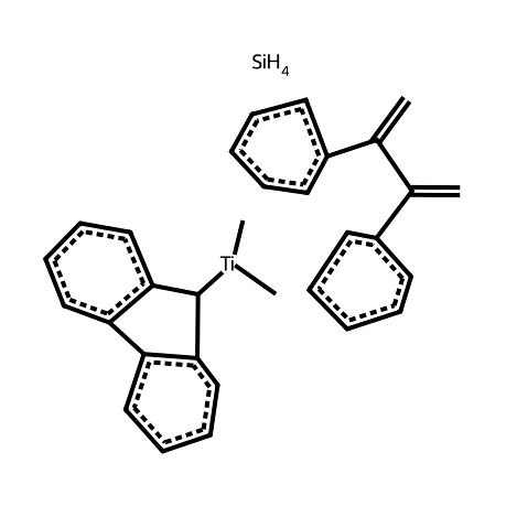 C=C(C(=C)c1ccccc1)c1ccccc1.[CH3][Ti]([CH3])[CH]1c2ccccc2-c2ccccc21.[SiH4]